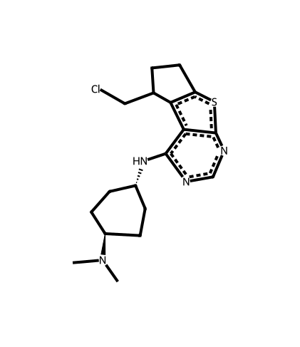 CN(C)[C@H]1CC[C@H](Nc2ncnc3sc4c(c23)C(CCl)CC4)CC1